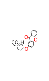 O=C(O)C[C@H]1CC[C@H](Oc2ccc3oc4ccccc4c(=O)c3c2)CC1